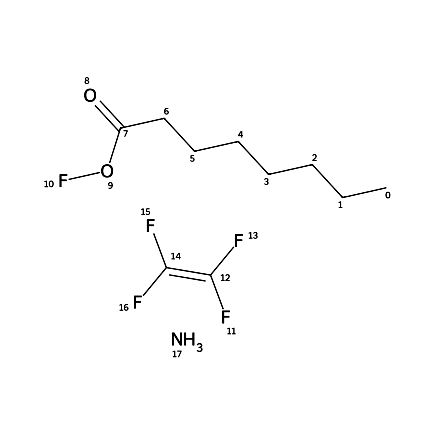 CCCCCCCC(=O)OF.FC(F)=C(F)F.N